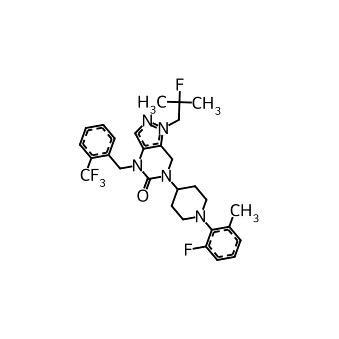 Cc1cccc(F)c1N1CCC(N2Cc3c(cnn3CC(C)(C)F)N(Cc3ccccc3C(F)(F)F)C2=O)CC1